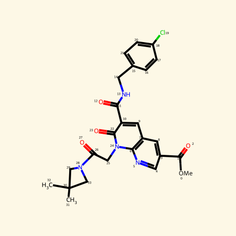 COC(=O)c1cnc2c(c1)cc(C(=O)NCc1ccc(Cl)cc1)c(=O)n2CC(=O)N1CC(C)(C)C1